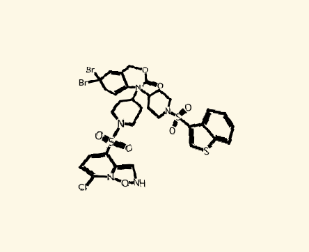 O=C1OCC2=CC(Br)(Br)CC=C2[N+]1(C1CCN(S(=O)(=O)C2=CC=C(Cl)N3ONC=C23)CC1)C1CCN(S(=O)(=O)c2csc3ccccc23)CC1